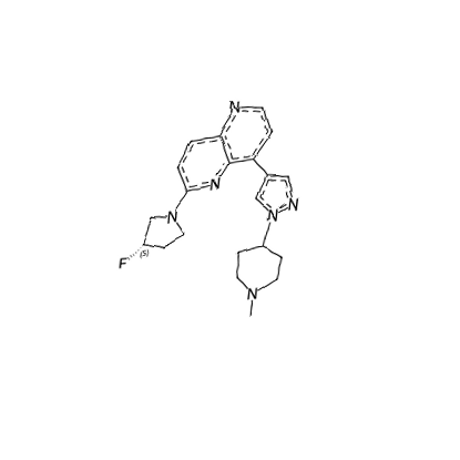 CN1CCC(n2cc(-c3ccnc4ccc(N5CC[C@H](F)C5)nc34)cn2)CC1